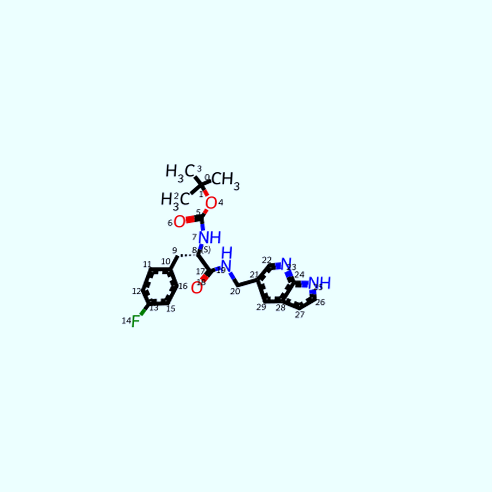 CC(C)(C)OC(=O)N[C@@H](Cc1ccc(F)cc1)C(=O)NCc1cnc2[nH]ccc2c1